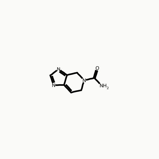 NC(=O)N1CC=C2N=CN=C2C1